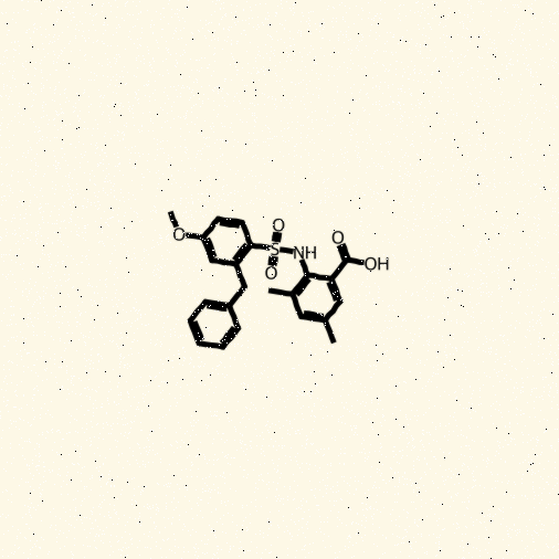 COc1ccc(S(=O)(=O)Nc2c(C)cc(C)cc2C(=O)O)c(Cc2ccccc2)c1